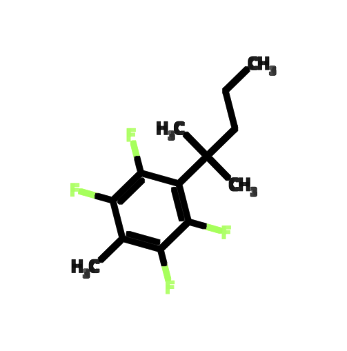 CCCC(C)(C)c1c(F)c(F)c(C)c(F)c1F